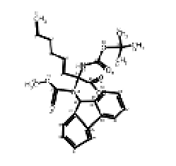 CCCCCCC(NC(=O)OC(C)(C)C)(C(=O)O)N(C(=O)OC)C1c2ccccc2-c2ccccc21